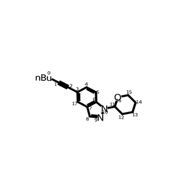 CCCCC#Cc1ccc2c(cnn2C2CCCCO2)c1